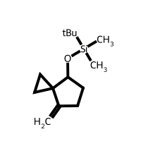 C=C1CCC(O[Si](C)(C)C(C)(C)C)C12CC2